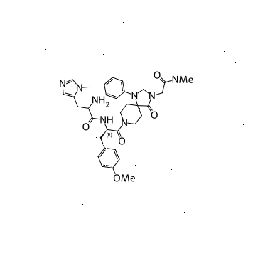 CNC(=O)CN1CN(c2ccccc2)C2(CCN(C(=O)[C@@H](Cc3ccc(OC)cc3)NC(=O)C(N)Cc3cncn3C)CC2)C1=O